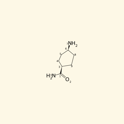 NC(=O)[C@H]1CC[C@@H](N)CC1